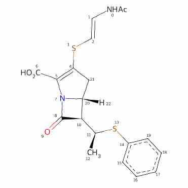 CC(=O)NC=CSC1=C(C(=O)O)N2C(=O)[C@H]([C@H](C)Sc3ccccc3)[C@H]2C1